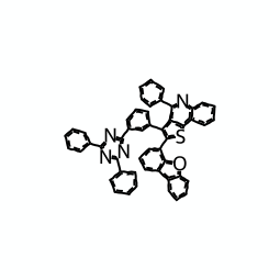 c1ccc(-c2nc(-c3ccccc3)nc(-c3cccc(-c4c(-c5cccc6c5oc5ccccc56)sc5c4c(-c4ccccc4)nc4ccccc45)c3)n2)cc1